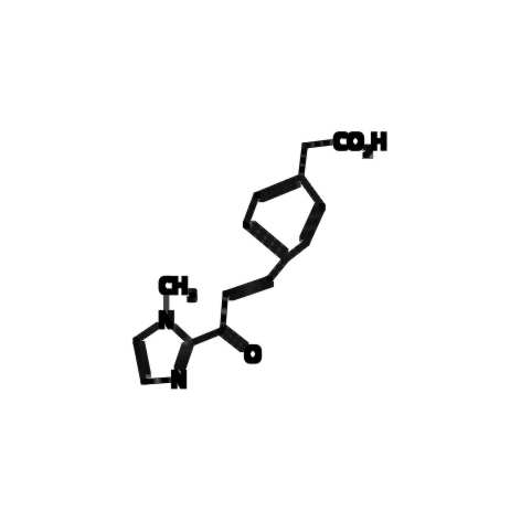 Cn1ccnc1C(=O)/C=C/c1ccc(CC(=O)O)cc1